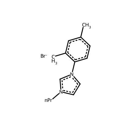 CCC[n+]1ccn(-c2ccc(C)cc2C)c1.[Br-]